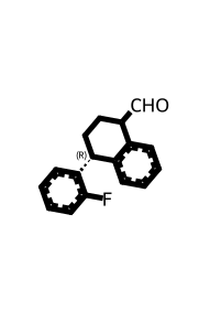 O=CC1CC[C@@H](c2ccccc2F)c2ccccc21